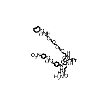 CC(C)[C@H](NC(=O)CCOCCOCCOCCOCCNC(=O)OC1CC/C=C/CCC1)C(=O)N[C@@H](CCCNC(N)=O)C(=O)Nc1ccc(COC(=O)Oc2ccc([N+](=O)[O-])cc2)cc1